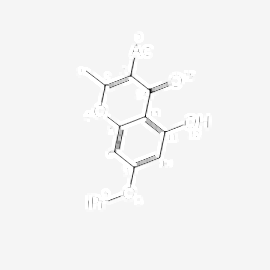 CC(=O)c1c(C)oc2cc(OC(C)C)cc(O)c2c1=O